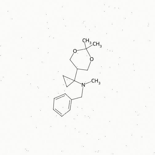 CN(Cc1ccccc1)C1(C2COC(C)(C)OC2)CC1